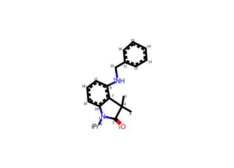 CC(C)N1C(=O)C(C)(C)c2c(NCc3ccccc3)cccc21